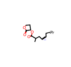 CC(C)C/C=C\CC(C)C(=O)OC1CCOC1=O